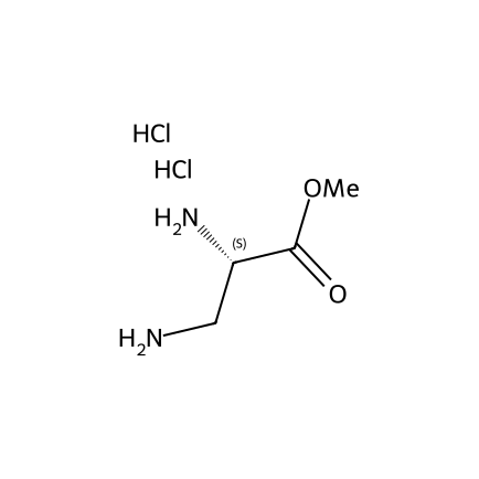 COC(=O)[C@@H](N)CN.Cl.Cl